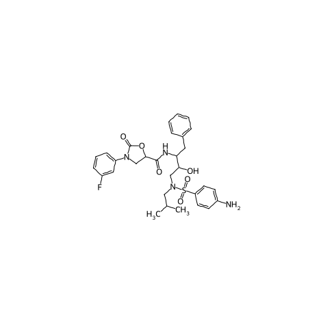 CC(C)CN(CC(O)C(Cc1ccccc1)NC(=O)C1CN(c2cccc(F)c2)C(=O)O1)S(=O)(=O)c1ccc(N)cc1